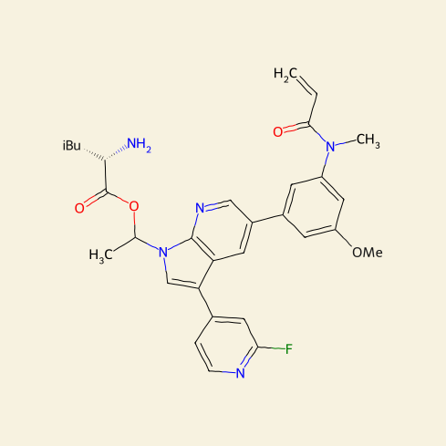 C=CC(=O)N(C)c1cc(OC)cc(-c2cnc3c(c2)c(-c2ccnc(F)c2)cn3C(C)OC(=O)[C@@H](N)[C@@H](C)CC)c1